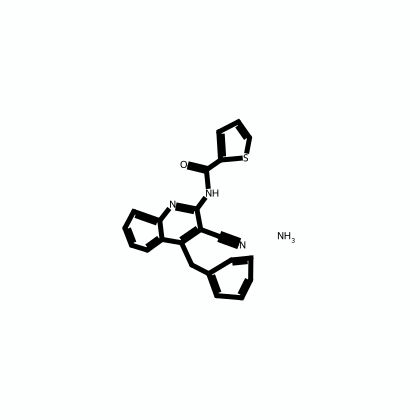 N.N#Cc1c(NC(=O)c2cccs2)nc2ccccc2c1Cc1ccccc1